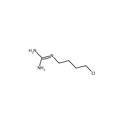 NC(N)=NCCCCCl